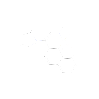 CCN1C=C(N2CCCC2)c2ccc3ccccc3c2S1(=O)=O